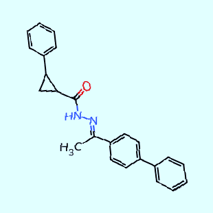 C/C(=N\NC(=O)C1CC1c1ccccc1)c1ccc(-c2ccccc2)cc1